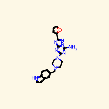 Nc1nc(N2CCN(Cc3ccc4[nH]ccc4c3)CC2)nc2nc(-c3ccco3)nn12